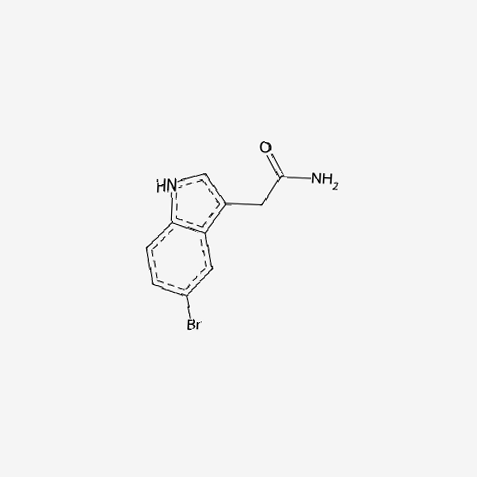 NC(=O)Cc1c[nH]c2ccc(Br)cc12